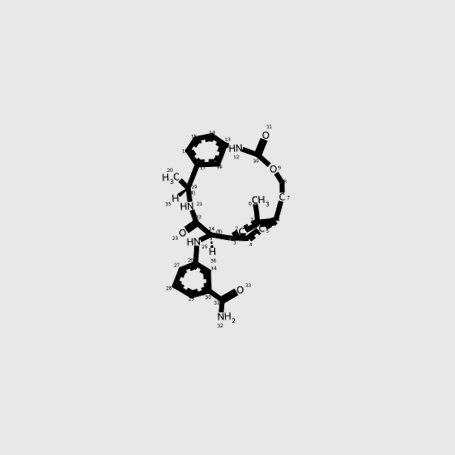 Cc1cc2ccc1CCOC(=O)Nc1cccc(c1)[C@@H](C)NC(=O)[C@@H]2Nc1cccc(C(N)=O)c1